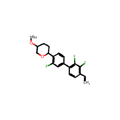 C=Cc1ccc(-c2ccc(C3CCC(OCCCC)CO3)c(F)c2)c(F)c1F